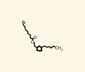 CCCCCCc1cccc(CCOC(=O)CCCCCCCBr)c1